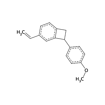 C=Cc1ccc2c(c1)C(c1ccc(OC)cc1)C2